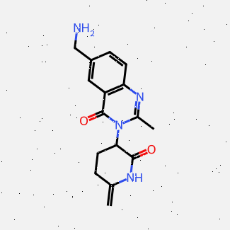 C=C1CCC(n2c(C)nc3ccc(CN)cc3c2=O)C(=O)N1